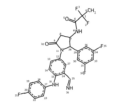 CC(F)(F)C(=O)NC1CC(=O)N(c2ccc(Nc3ccc(F)cc3)c(C=N)c2)C1c1cc(F)cc(F)c1